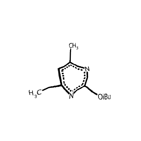 Cc1cc(C)nc(OCC(C)C)n1